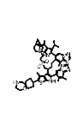 Cc1c(-c2[nH]c3sc(C4CCC5(CC4)CNCCO5)c(C)c3c2C(C)CCc2c(-c3[nH]c4sc(C56CCN(CCS(C)(=O)=O)CC5C6)c(C)c4c3C(C)C)cn3ncnc3c2C)cn2ncnc2c1C